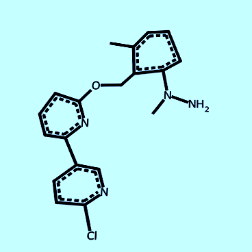 Cc1cccc(N(C)N)c1COc1cccc(-c2ccc(Cl)nc2)n1